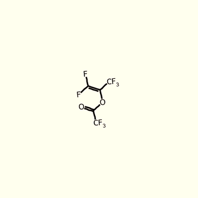 O=C(OC(=C(F)F)C(F)(F)F)C(F)(F)F